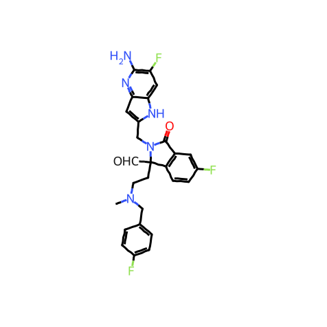 CN(CCC1(C=O)c2ccc(F)cc2C(=O)N1Cc1cc2nc(N)c(F)cc2[nH]1)Cc1ccc(F)cc1